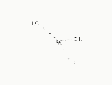 CCCCCCCCCCCCCCCCCC[n+]1ccn(CCCCCCCCCCCC)c1CCCCCCCCCC